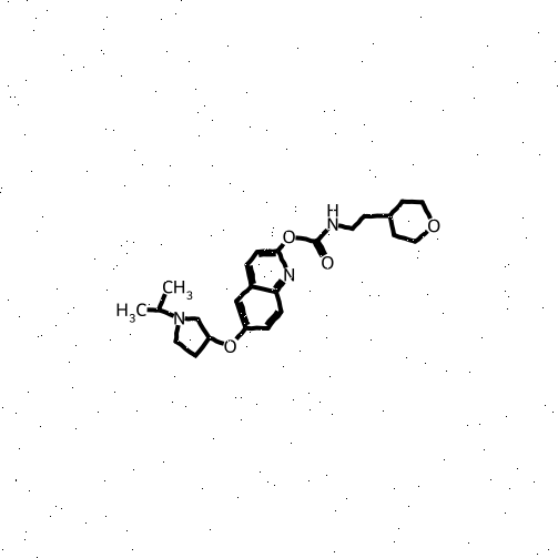 CC(C)N1CCC(Oc2ccc3nc(OC(=O)NCCC4CCOCC4)ccc3c2)C1